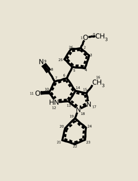 COc1ccc(-c2c(C#N)c(=O)[nH]c3c2c(C)nn3-c2ccccc2)cc1